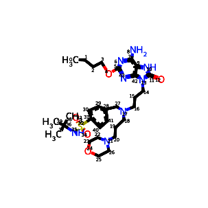 CCCCOc1nc(N)c2[nH]c(=O)n(CCCN(CCCN3CCOCC3)Cc3ccc(S(=O)(=O)NC(C)(C)C)cc3)c2n1